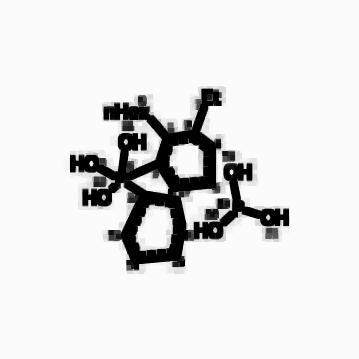 CCCCCCc1c(CC)cccc1P(O)(O)(O)c1ccccc1.OP(O)O